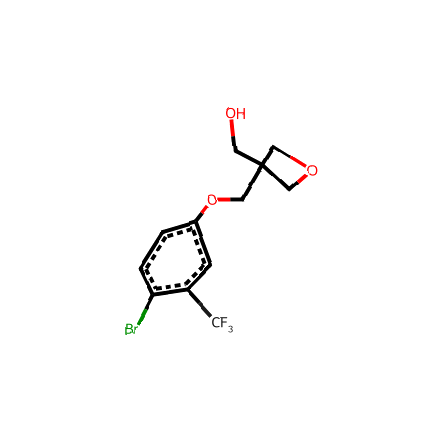 OCC1(COc2ccc(Br)c(C(F)(F)F)c2)COC1